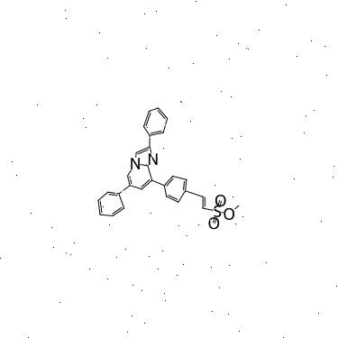 COS(=O)(=O)C=Cc1ccc(-c2cc(-c3ccccc3)cn3cc(-c4ccccc4)nc23)cc1